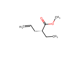 C=CC[C@@H](CC)C(=O)OC